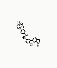 O=C(Nc1ccc(Cl)c(-c2ccc3cc[nH]c3n2)c1)c1ccc(N2CCNS2(=O)=O)cc1